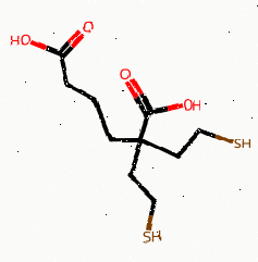 O=C(O)CCCC(CCS)(CCS)C(=O)O